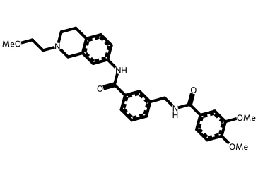 COCCN1CCc2ccc(NC(=O)c3cccc(CNC(=O)c4ccc(OC)c(OC)c4)c3)cc2C1